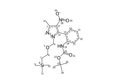 Cc1nn(COCC[Si](C)(C)C)c(-c2ccccc2NC(=O)OC(C)(C)C)c1[N+](=O)[O-]